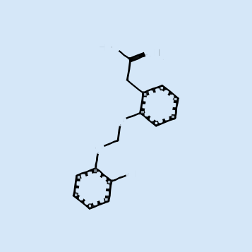 C=C(C)Cc1ccccc1OCOc1ccccc1C